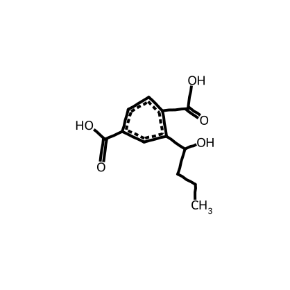 CCCC(O)c1cc(C(=O)O)ccc1C(=O)O